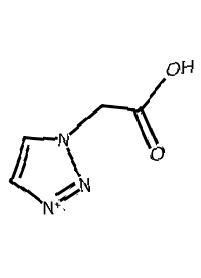 O=C(O)CN1C=C[N+]=N1